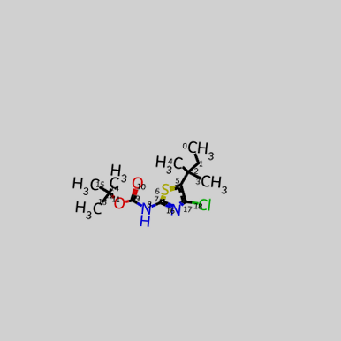 CCC(C)(C)c1sc(NC(=O)OC(C)(C)C)nc1Cl